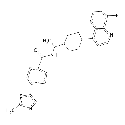 Cc1ncc(-c2ccc(C(=O)N[C@H](C)C3CCC(c4ccnc5c(F)cccc45)CC3)cc2)s1